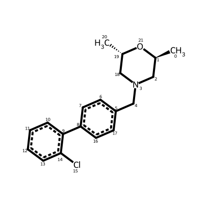 C[C@H]1CN(Cc2ccc(-c3ccccc3Cl)cc2)C[C@H](C)O1